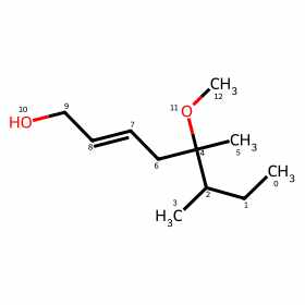 CCC(C)C(C)(CC=CCO)OC